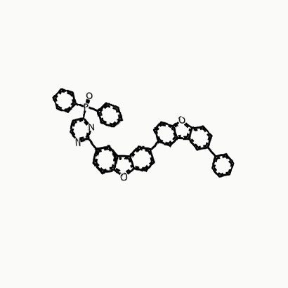 O=P(c1ccccc1)(c1ccccc1)c1ccnc(-c2ccc3oc4ccc(-c5ccc6oc7ccc(-c8ccccc8)cc7c6c5)cc4c3c2)n1